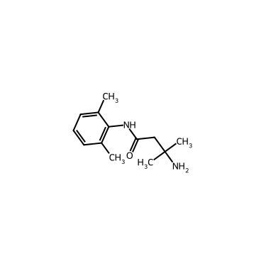 Cc1cccc(C)c1NC(=O)CC(C)(C)N